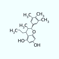 CCCC1c2c(O)cc(O)cc2O[C@H](c2cc(C)c(C)c(C)c2)C1C